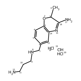 CC1Oc2ccc(CNCCCN)cc2N=C1N.Cl.Cl.Cl